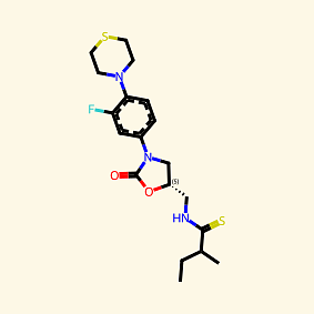 CCC(C)C(=S)NC[C@H]1CN(c2ccc(N3CCSCC3)c(F)c2)C(=O)O1